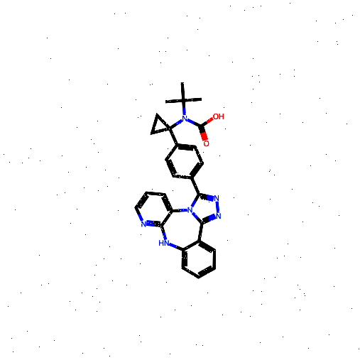 CC(C)(C)N(C(=O)O)C1(c2ccc(-c3nnc4n3-c3cccnc3Nc3ccccc3-4)cc2)CC1